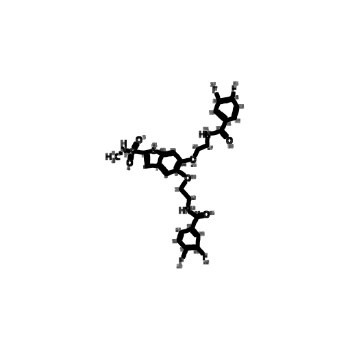 CNS(=O)(=O)c1cc2cc(OCCNC(=O)c3ccc(F)c(F)c3)c(OCCNC(=O)c3ccc(F)c(F)c3)cc2s1